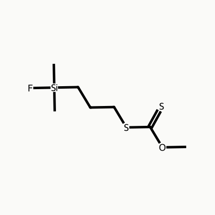 COC(=S)SCCC[Si](C)(C)F